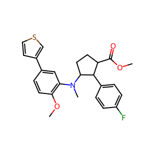 COC(=O)C1CCC(N(C)c2cc(-c3ccsc3)ccc2OC)C1c1ccc(F)cc1